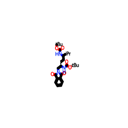 CC(C)C(CC[C@@H](CN1C(=O)c2ccccc2C1=O)NC(=O)OC(C)(C)C)NC(=O)OC(C)(C)C